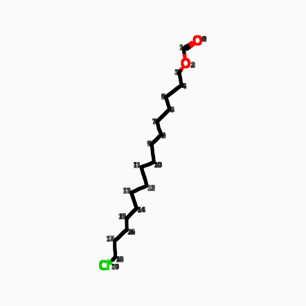 O=COCCCCCCCCCCCCCCCCCl